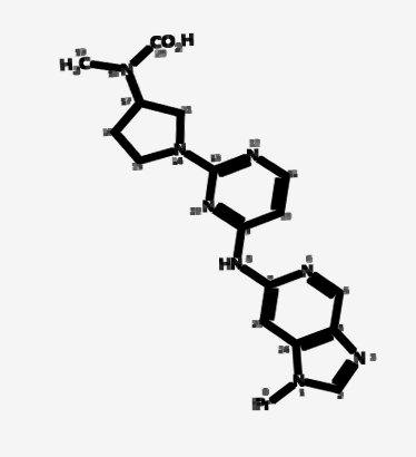 CC(C)n1cnc2cnc(Nc3ccnc(N4CCC(N(C)C(=O)O)C4)n3)cc21